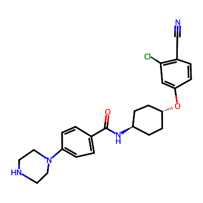 N#Cc1ccc(O[C@H]2CC[C@H](NC(=O)c3ccc(N4CCNCC4)cc3)CC2)cc1Cl